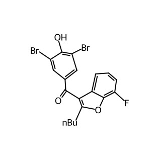 CCCCc1oc2c(F)cccc2c1C(=O)c1cc(Br)c(O)c(Br)c1